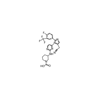 N#CCc1cnc(-c2ccc(F)c(C(F)(F)F)c2)n1-c1ccnc(NC2CCCN(C(=O)O)C2)n1